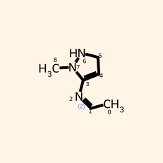 C/C=N\C1=CCNN1C